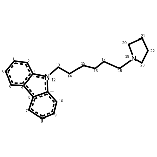 c1ccc2c(c1)c1ccccc1n2CCCCCCN1CCCC1